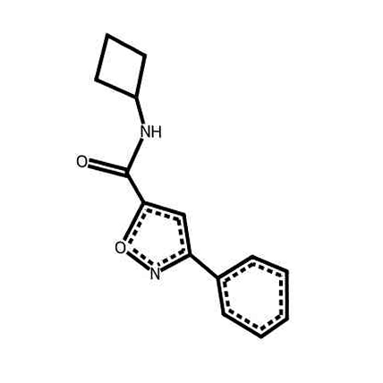 O=C(NC1CCC1)c1cc(-c2ccccc2)no1